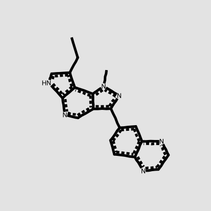 CCc1c[nH]c2ncc3c(-c4ccc5nccnc5c4)nn(C)c3c12